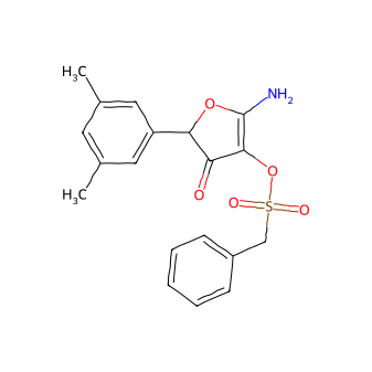 Cc1cc(C)cc(C2OC(N)=C(OS(=O)(=O)Cc3ccccc3)C2=O)c1